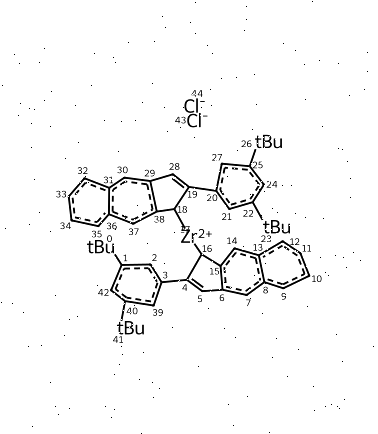 CC(C)(C)c1cc(C2=Cc3cc4ccccc4cc3[CH]2[Zr+2][CH]2C(c3cc(C(C)(C)C)cc(C(C)(C)C)c3)=Cc3cc4ccccc4cc32)cc(C(C)(C)C)c1.[Cl-].[Cl-]